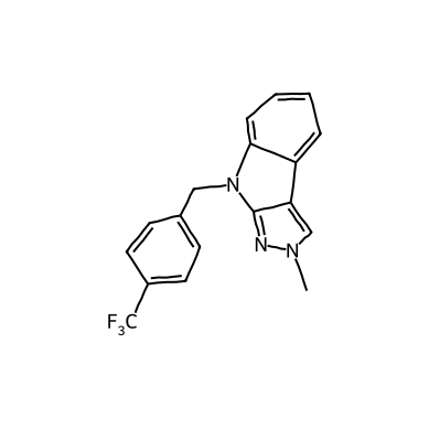 Cn1cc2c3ccccc3n(Cc3ccc(C(F)(F)F)cc3)c2n1